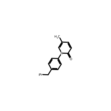 Cc1ccc(=O)n(-c2ccc(CC(C)C)cc2)c1